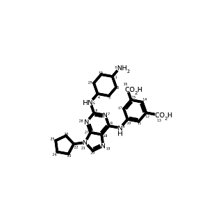 NC1CCC(Nc2nc(Nc3cc(C(=O)O)cc(C(=O)O)c3)c3ncn(C4CCCC4)c3n2)CC1